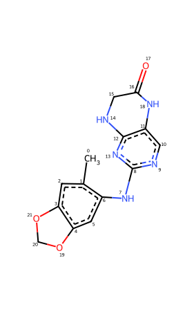 Cc1cc2c(cc1Nc1ncc3c(n1)NCC(=O)N3)OCO2